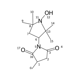 CC1CC(=O)N(C2CC(C)(C)N(O)C2(C)C)C1=O